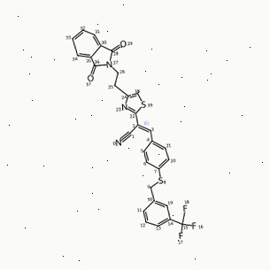 N#C/C(=C\c1ccc(SCc2cccc(C(F)(F)F)c2)cc1)c1nc(CCN2C(=O)c3ccccc3C2=O)cs1